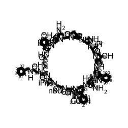 CCCC[C@H]1C(=O)N(C)[C@@H](CCCC)C(=O)N[C@@H](CC(C)C)C(=O)N[C@H](C(=O)NCC(=O)NCc2ccccc2)CSCC(=O)N[C@@H](Cc2ccc(O)cc2)C(=O)N(C)[C@@H](C)C(=O)N[C@@H](CC(N)=O)C(=O)N2CCC[C@H]2C(=O)N[C@@H](CN)C(=O)N[C@@H](CC(C)C)C(=O)N2C[C@H](O)C[C@H]2C(=O)N[C@@H](Cc2c[nH]c3ccccc23)C(=O)N[C@@H](CCN)C(=O)NC(Cc2cn(CC(=O)O)c3ccccc23)C(=O)N1C